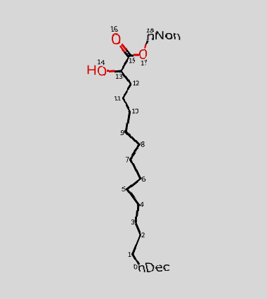 CCCCCCCCCCCCCCCCCCCCCCC(O)C(=O)OCCCCCCCCC